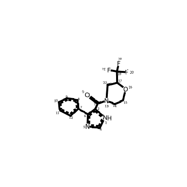 O=C(c1[nH]cnc1-c1ccccc1)N1CCOC(C(F)(F)F)C1